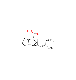 CC/C(C)=C\C1CC2(C(=O)O)CC1C1CCCC12